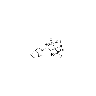 O=P(O)(O)C(O)(CCN1CC2CCC(C2)C1)P(=O)(O)O